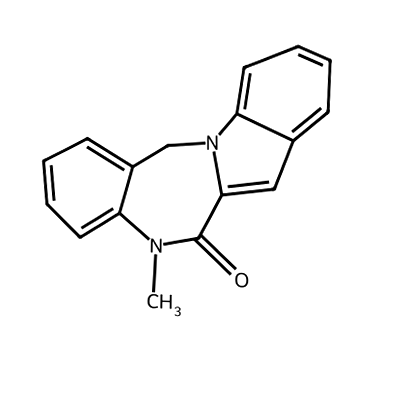 CN1C(=O)c2cc3ccccc3n2Cc2ccccc21